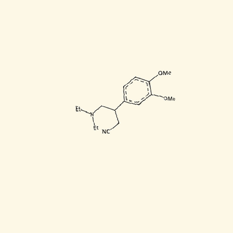 CCN(CC)CC(CC#N)c1ccc(OC)c(OC)c1